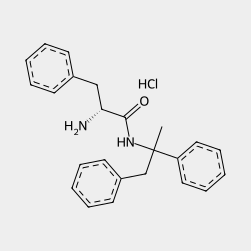 CC(Cc1ccccc1)(NC(=O)[C@H](N)Cc1ccccc1)c1ccccc1.Cl